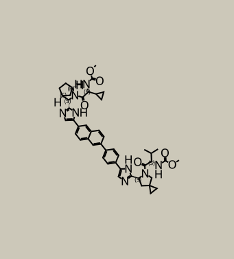 COC(=O)N[C@H](C(=O)N1CC2(CC2)C[C@H]1c1ncc(-c2ccc(-c3ccc4cc(-c5cnc([C@@H]6[C@H]7CC[C@H](C7)N6C(=O)[C@@H](NC(=O)OC)C6CC6)[nH]5)ccc4c3)cc2)[nH]1)C(C)C